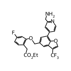 CCOC(=O)Cc1ccc(F)cc1OCc1cc(-c2ccnc(CN)c2)c2occ(C(F)(F)F)c2c1